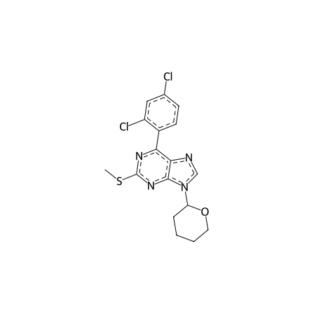 CSc1nc(-c2ccc(Cl)cc2Cl)c2ncn(C3CCCCO3)c2n1